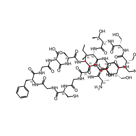 CC[C@H](C)[C@H](NC(=O)[C@H](C)N)C(=O)NCC(=O)N[C@@H](CS)C(=O)NCC(=O)N[C@@H](Cc1ccccc1)C(=O)NCC(=O)N[C@@H](CO)C(=O)N[C@@H](CO)C(=O)NCC(=O)NCC(=O)N[C@@H](CO)C(=O)N[C@@H](CO)C(=O)N[C@@H](CO)C(=O)N[C@H](C(=O)N[C@H](C(=O)N[C@@H](CCCCN)C(=O)O)[C@@H](C)CC)[C@@H](C)O